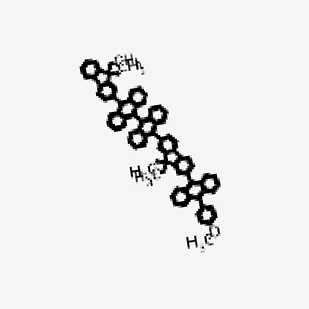 CCC1(CC)c2ccccc2-c2ccc(-c3c4ccccc4c(-c4c5ccccc5c(-c5ccc6c(c5)C(CC)(CC)c5cc(-c7c8ccccc8c(-c8ccc(OC)cc8)c8ccccc78)ccc5-6)c5ccccc45)c4ccccc34)cc21